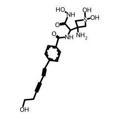 NC1(C(NC(=O)c2ccc(C#CC#CCCO)cc2)C(=O)NO)CS(O)(O)C1